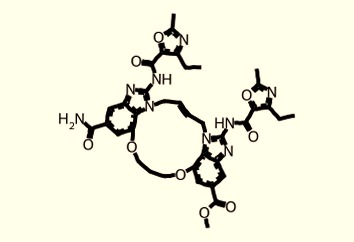 CCc1nc(C)oc1C(=O)Nc1nc2cc(C(N)=O)cc3c2n1C/C=C/Cn1c(NC(=O)c2oc(C)nc2CC)nc2cc(C(=O)OC)cc(c21)OCCCO3